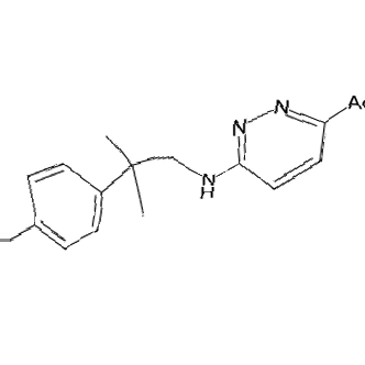 CC(=O)c1ccc(NCC(C)(C)c2ccc(F)cc2)nn1